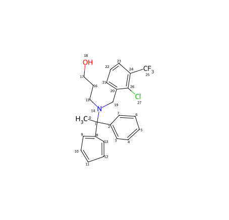 CC(c1ccccc1)(c1ccccc1)N(CCCO)Cc1cccc(C(F)(F)F)c1Cl